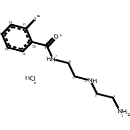 Cl.NCCNCCNC(=O)c1ccccc1I